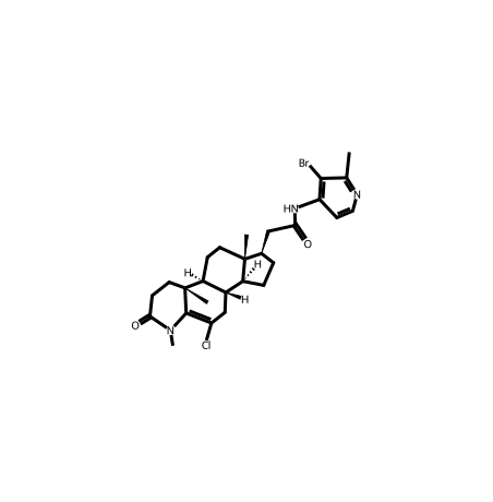 Cc1nccc(NC(=O)C[C@H]2CC[C@H]3[C@@H]4CC(Cl)=C5N(C)C(=O)CC[C@]5(C)[C@H]4CC[C@]23C)c1Br